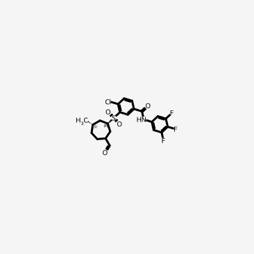 C[C@H]1CCC(C=O)C[C@H](S(=O)(=O)c2cc(C(=O)Nc3cc(F)c(F)c(F)c3)ccc2Cl)C1